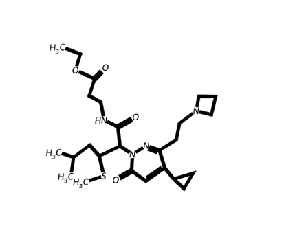 CCOC(=O)CCNC(=O)C(C(CC(C)C)SC)n1nc(CCN2CCC2)c(C2CC2)cc1=O